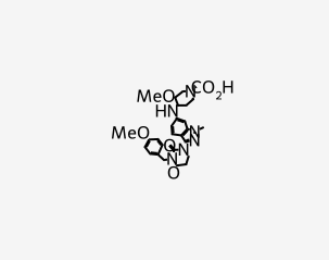 COc1ccc(CN2C(=O)CCN(c3nn(C)c4cc(N[C@@H]5CCN(C(=O)O)C[C@H]5OC)ccc34)C2=O)cc1